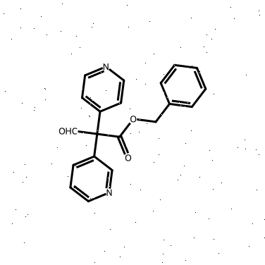 O=CC(C(=O)OCc1ccccc1)(c1ccncc1)c1cccnc1